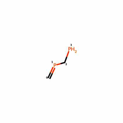 C=PCP